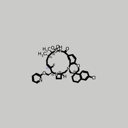 C[C@@H]1[C@@H](C)C/C=C(\F)[C@H](COc2ccccn2)N2CC[C@H]2CN2C[C@@]3(CCCc4cc(Cl)ccc43)COc3ccc(cc32)C(=O)NS1(=O)=O